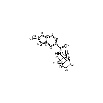 CC1(C)[C@H](NC(=O)c2ccc3cc(Cl)sc3c2)C2CCN1CC2